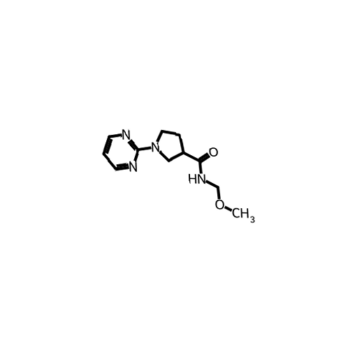 COCNC(=O)C1CCN(c2ncccn2)C1